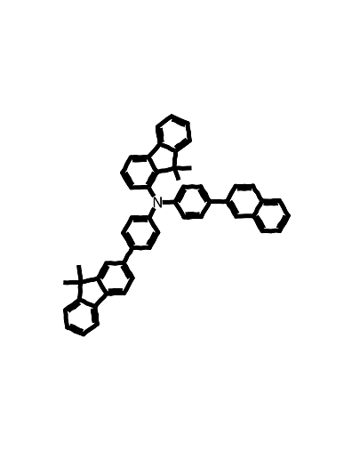 CC1(C)c2ccccc2-c2ccc(-c3ccc(N(c4ccc(-c5ccc6ccccc6c5)cc4)c4cccc5c4C(C)(C)c4ccccc4-5)cc3)cc21